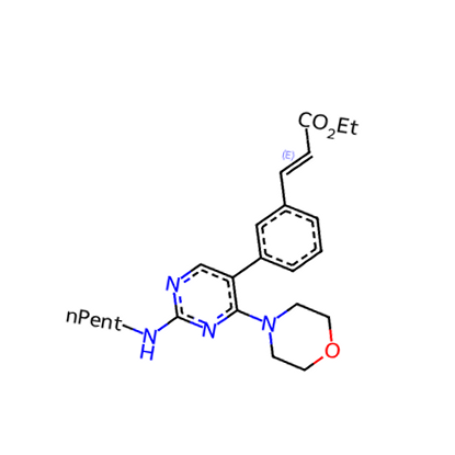 CCCCCNc1ncc(-c2cccc(/C=C/C(=O)OCC)c2)c(N2CCOCC2)n1